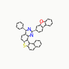 c1ccc(-c2nc(-c3ccc4c(c3)oc3ccccc34)nc3c2ccc2sc4ccc5ccccc5c4c23)cc1